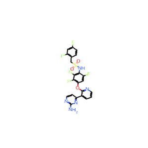 Nc1nccc(-c2cccnc2Oc2cc(F)c(NS(=O)(=O)Cc3ccc(F)cc3F)c(F)c2F)n1